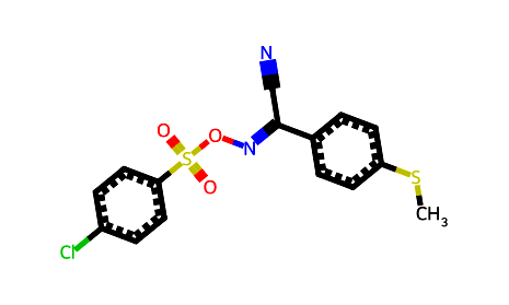 CSc1ccc(C(C#N)=NOS(=O)(=O)c2ccc(Cl)cc2)cc1